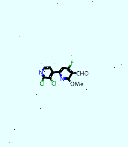 COc1nc(-c2ccnc(Cl)c2Cl)cc(F)c1C=O